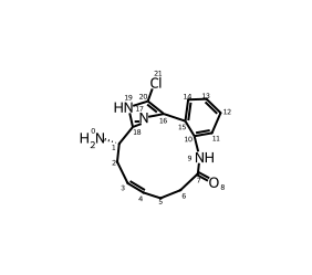 N[C@H]1CC=CCCC(=O)Nc2ccccc2-c2nc1[nH]c2Cl